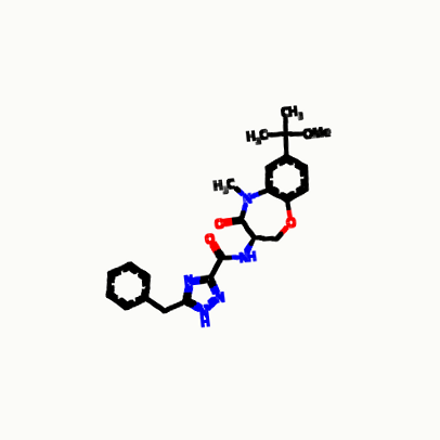 COC(C)(C)c1ccc2c(c1)N(C)C(=O)[C@H](NC(=O)c1n[nH]c(Cc3ccccc3)n1)CO2